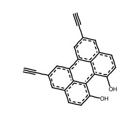 C#Cc1cc2ccc(O)c3c4c(O)ccc5cc(C#C)cc(c(c1)c23)c54